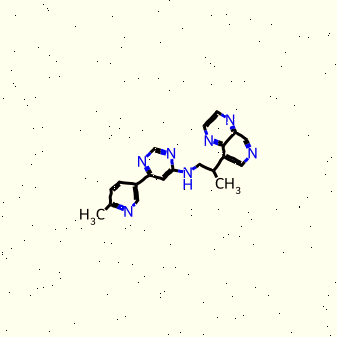 Cc1ccc(-c2cc(NCC(C)c3cncc4nccnc34)ncn2)cn1